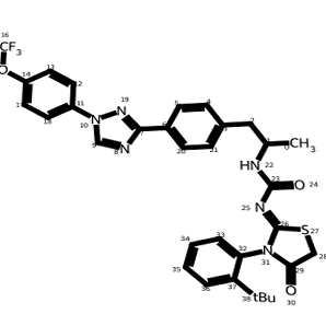 CC(Cc1ccc(-c2ncn(-c3ccc(OC(F)(F)F)cc3)n2)cc1)NC(=O)/N=C1\SCC(=O)N1c1ccccc1C(C)(C)C